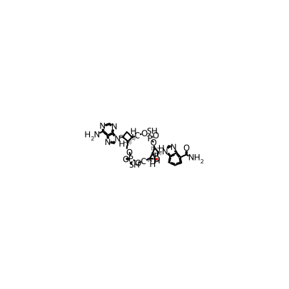 NC(=O)c1cccc2c1ncn2[C@@H]1O[C@@H]2COP(=O)(S)OC[C@@H]3[C@@H](COP(=O)(S)O[C@@H]1[C@@H]2F)C[C@H]3n1cnc2c(N)ncnc21